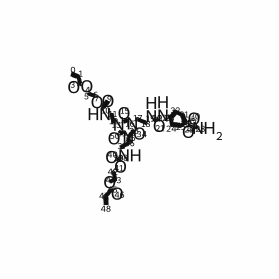 C=CC(=O)OCCOC(=O)NCCn1c(=O)n(CCNC(=O)Nc2ccc(S(N)(=O)=O)cc2)c(=O)n(CCNC(=O)OCCOC(=O)C=C)c1=O